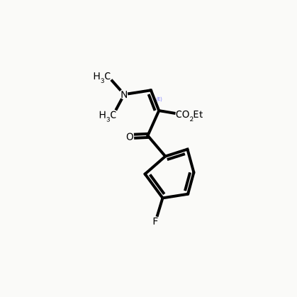 CCOC(=O)/C(=C/N(C)C)C(=O)c1cccc(F)c1